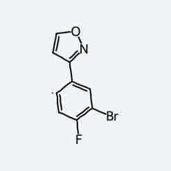 Fc1c[c]c(-c2ccon2)cc1Br